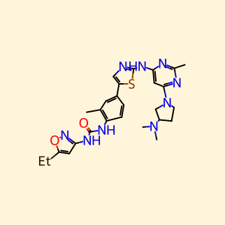 CCc1cc(NC(=O)Nc2ccc(-c3cnc(Nc4cc(N5CCC(N(C)C)C5)nc(C)n4)s3)cc2C)no1